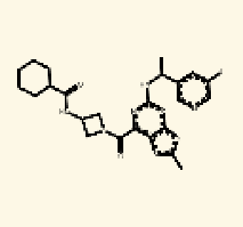 Cc1nc2nc(NC(C)c3cncc(F)c3)nc(C(=O)N3CC(NC(=O)C4CCCCC4)C3)c2s1